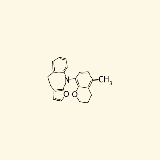 Cc1ccc(N2c3ccccc3CCc3ccoc32)c2c1CCCO2